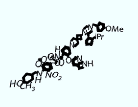 COc1ccc(CN2CCN(C3CC4(CCN(c5ccc(C(=O)NS(=O)(=O)c6cc([N+](=O)[O-])c(NCC7CCC(C)(O)CC7)c7c6OCO7)c(Oc6cnc7[nH]ccc7c6)c5)CC4)C3)C(c3ccccc3C(C)C)C2)cc1